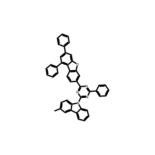 Cc1ccc2c(c1)c1ccccc1n2-c1nc(-c2ccccc2)nc(-c2ccc3c(c2)oc2cc(-c4ccccc4)cc(-c4ccccc4)c23)n1